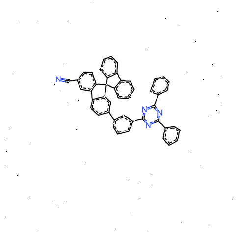 N#Cc1ccc2c(c1)-c1ccc(-c3cccc(-c4nc(-c5ccccc5)nc(-c5ccccc5)n4)c3)cc1C21c2ccccc2-c2ccccc21